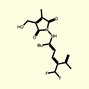 C=C(C)/C(=C\C=C(\NN1C(=O)C(C)=C(CO)C1=O)C(C)CC)C(F)F